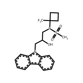 CS(=O)(=O)N(CC(O)Cn1c2ccccc2c2ccccc21)C1(C(F)(F)F)CCC1